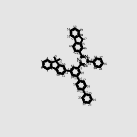 CC1(C)c2ccccc2-c2ccc(-c3cc(-c4ccc(-c5ccccc5)cc4)cc(-c4nc(-c5ccccc5)nc(-c5ccc6c(c5)Cc5ccccc5-6)n4)c3)cc21